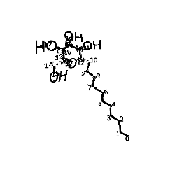 CCCCCCCCCCC[C@@H]1O[C@H](CO)[C@@H](O)[C@H](O)[C@H]1O